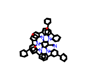 N#Cc1c(-n2c3ccccc3c3cc(-c4ccccc4)ccc32)c(-n2c3ccccc3c3ccccc32)c(-n2c3ccccc3c3cc(-c4ccccc4)ccc32)c(-n2c3ccccc3c3ccccc32)c1-n1c2ccccc2c2cc(-c3ccccc3)ccc21